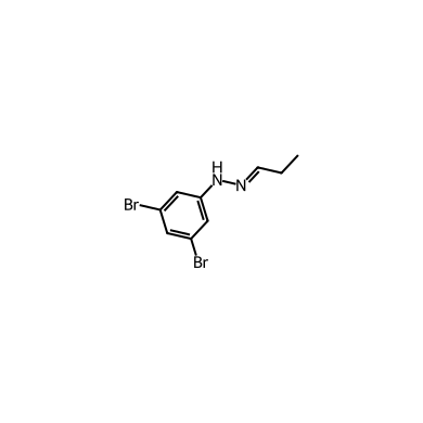 CCC=NNc1cc(Br)cc(Br)c1